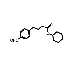 O=Cc1ccc(CCCC(=O)OC2CCCCC2)cc1